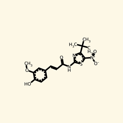 COc1cc(/C=C/C(=O)Nc2nc(C(C)(C)C)c([N+](=O)[O-])s2)ccc1O